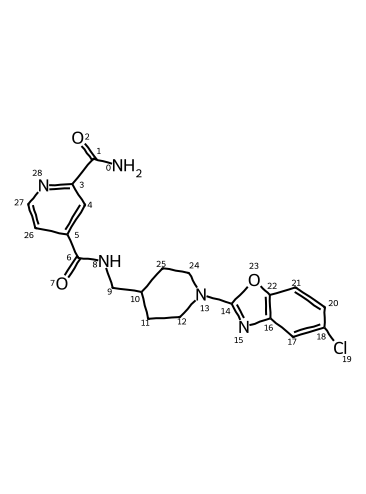 NC(=O)c1cc(C(=O)NCC2CCN(c3nc4cc(Cl)ccc4o3)CC2)ccn1